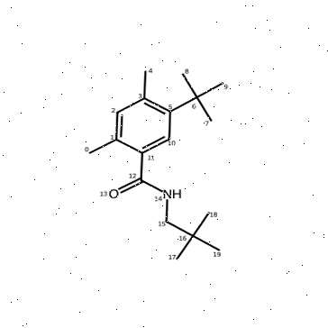 Cc1cc(C)c(C(C)(C)C)cc1C(=O)NCC(C)(C)C